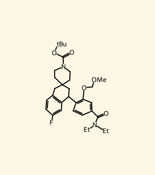 CCN(CC)C(=O)c1ccc(C2CC3(CCN(C(=O)OC(C)(C)C)CC3)Cc3ccc(F)cc32)c(OCOC)c1